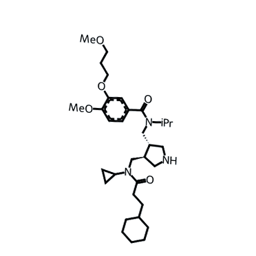 COCCCOc1cc(C(=O)N(C[C@@H]2CNC[C@H]2CN(C(=O)CCC2CCCCC2)C2CC2)C(C)C)ccc1OC